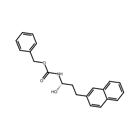 O=C(N[C@@H](O)CCc1ccc2ccccc2c1)OCc1ccccc1